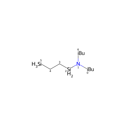 CCC(C)N([SiH2]CC[SiH3])C(C)CC